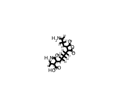 CC(C)C(C(=O)O)C(CC(C)(C)C(C)(C)C(C)(C)C1C(=O)OC(=O)C1CC(C)(C)C(C)N)C(N)=O